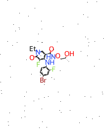 CCn1cc(C(=O)NOC[C@@H](C)O)c(Nc2ccc(Br)cc2F)c(F)c1=O